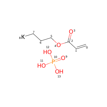 C=CC(=O)OCC[CH2][K].O=P(O)(O)O